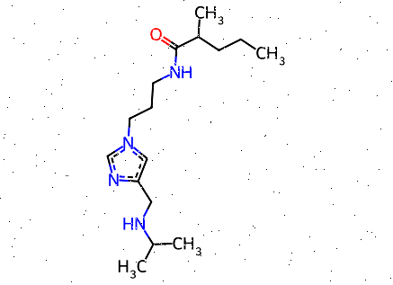 CCCC(C)C(=O)NCCCn1cnc(CNC(C)C)c1